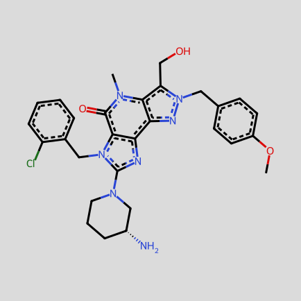 COc1ccc(Cn2nc3c4nc(N5CCC[C@@H](N)C5)n(Cc5ccccc5Cl)c4c(=O)n(C)c3c2CO)cc1